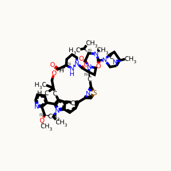 CCn1c(-c2cccnc2[C@H](C)OC)c2c3cc(ccc31)-c1csc(n1)C[C@@]1(CCN1C(=O)[C@H](C(C)C)N(C)C(=O)N1CC3CCC1CN3C)C(=O)N1CCC[C@H](N1)C(=O)OCC(C)(C)C2